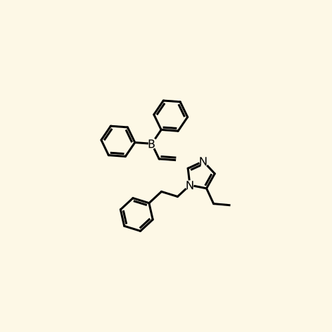 C=CB(c1ccccc1)c1ccccc1.CCc1cncn1CCc1ccccc1